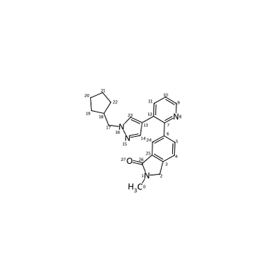 CN1Cc2ccc(-c3ncccc3-c3cnn(CC4CCCC4)c3)cc2C1=O